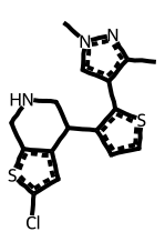 Cc1nn(C)cc1-c1sccc1C1CNCc2sc(Cl)cc21